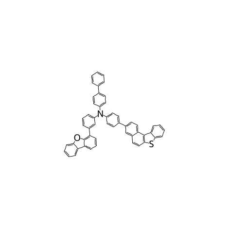 c1ccc(-c2ccc(N(c3ccc(-c4ccc5c(ccc6sc7ccccc7c65)c4)cc3)c3cccc(-c4cccc5c4oc4ccccc45)c3)cc2)cc1